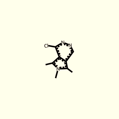 Cc1c2cnnc(Cl)c2c(C)n1C